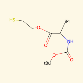 CC(C)C(NC(=O)OC(C)(C)C)C(=O)OCCS